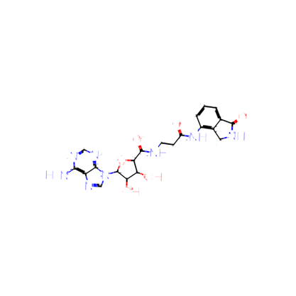 Nc1ncnc2c1ncn2C1OC(C(=O)NCCC(=O)Nc2cccc3c2CNC3=O)C(O)C1O